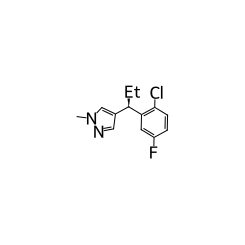 CC[C@H](c1cnn(C)c1)c1cc(F)ccc1Cl